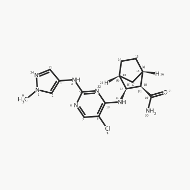 Cn1cc(Nc2ncc(Cl)c(N[C@H]3[C@@H]4CC[C@@H](C4)[C@H]3C(N)=O)n2)cn1